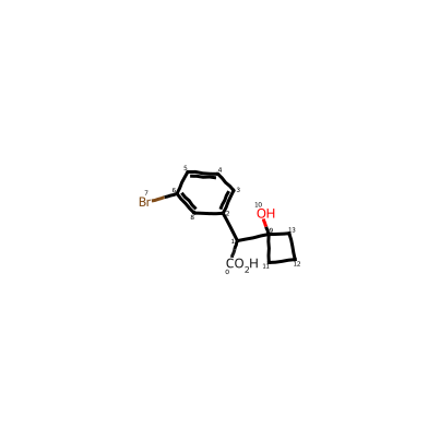 O=C(O)C(c1cccc(Br)c1)C1(O)CCC1